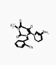 Cn1c(=O)c(Cl)c(N2CCCC(N)C2)n(Cc2ccccc2C#N)c1=O